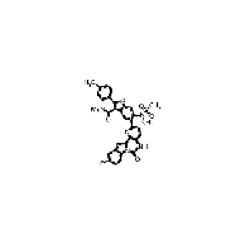 CNC(=O)c1c(-c2ccc(C)cc2)oc2cc(N(C)S(C)(=O)=O)c(-c3ccc4[nH]c(=O)n5c6ccc(F)cc6cc5c4n3)cc12